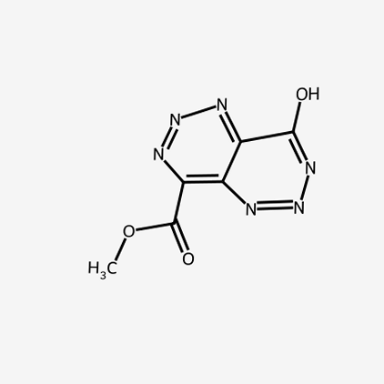 COC(=O)c1nnnc2c(O)nnnc12